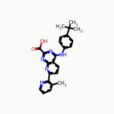 Cc1cccnc1-c1ccc2c(Nc3ccc(C(C)(C)C)cc3)nc(C(=O)O)nc2n1